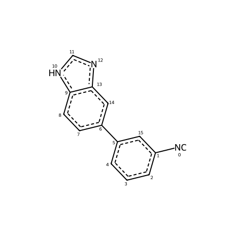 [C-]#[N+]c1cccc(-c2ccc3[nH]cnc3c2)c1